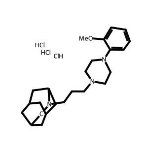 COc1ccccc1N1CCN(CCCN2CC3CC4CC(C3)CC2C4)CC1.Cl.Cl.Cl